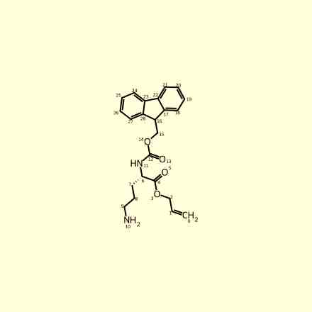 C=CCOC(=O)[C@H](CCCN)NC(=O)OCC1c2ccccc2-c2ccccc21